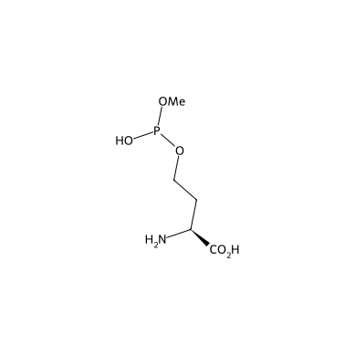 COP(O)OCC[C@H](N)C(=O)O